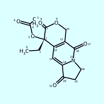 CC[C@@]1(OC(C)=O)C(=O)OCc2c1cc1n(c2=O)CCC1=O